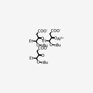 CCCCOC(CC)C(=O)CC(=O)[O-].CCCCOC(CC)C(=O)CC(=O)[O-].CCCCOC(CC)C(=O)CC(=O)[O-].[Al+3]